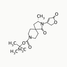 C[C@H]1CC2(CCN(C(=O)OC(C)(C)C)CC2)C(=O)N1C1=CC(=O)OC1